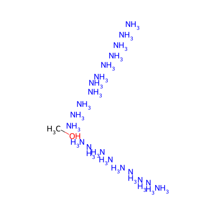 CO.N.N.N.N.N.N.N.N.N.N.N.N.N.N.N.N.N.N.N.N